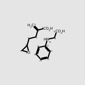 C=C(CCC1CO1)C(=O)O.O=C(O)CNc1ccccc1